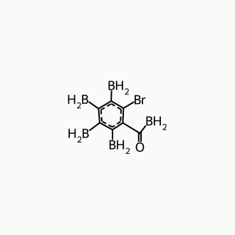 BC(=O)c1c(B)c(B)c(B)c(B)c1Br